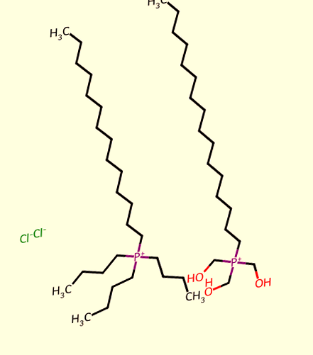 CCCCCCCCCCCCCCCC[P+](CO)(CO)CO.CCCCCCCCCCCCCC[P+](CCCC)(CCCC)CCCC.[Cl-].[Cl-]